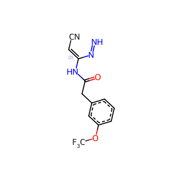 N#C/C=C(\N=N)NC(=O)Cc1cccc(OC(F)(F)F)c1